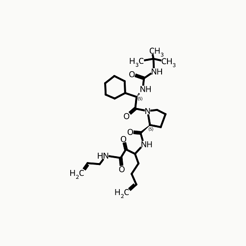 C=CCCC(NC(=O)[C@@H]1CCCN1C(=O)[C@@H](NC(=O)NC(C)(C)C)C1CCCCC1)C(=O)C(=O)NCC=C